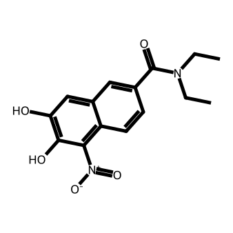 CCN(CC)C(=O)c1ccc2c([N+](=O)[O-])c(O)c(O)cc2c1